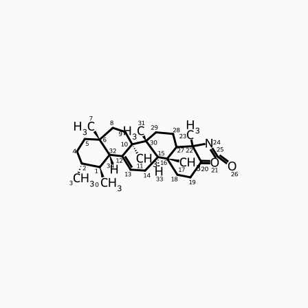 C[C@H]1[C@H](C)CC[C@]2(C)CC[C@]3(C)C(=CC[C@@H]4[C@@]5(C)CCC(=O)C(C)(N=C=O)C5CC[C@]43C)[C@H]12